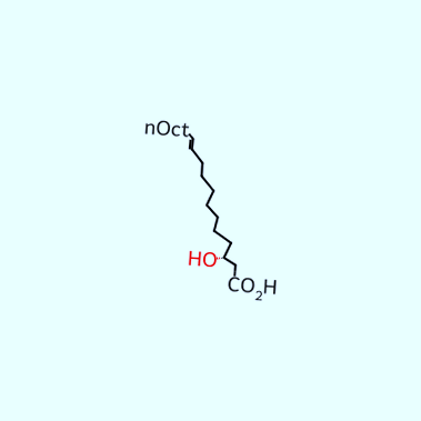 CCCCCCCCC=CCCCCCCC[C@@H](O)CC(=O)O